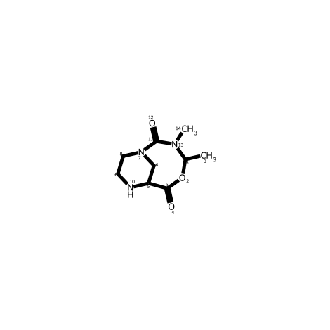 CC1OC(=O)C2CN(CCN2)C(=O)N1C